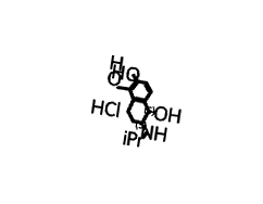 CC(C)N[C@H]1CCc2c(ccc(O)c2CO)[C@@H]1O.Cl